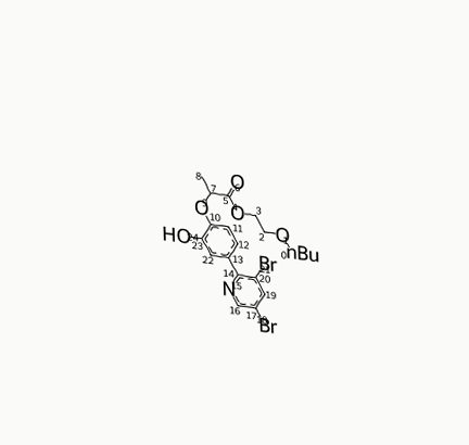 CCCCOCCOC(=O)C(C)Oc1ccc(-c2ncc(Br)cc2Br)cc1O